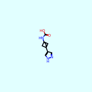 O=C(O)NC12CC(c3cn[nH]c3)(C1)C2